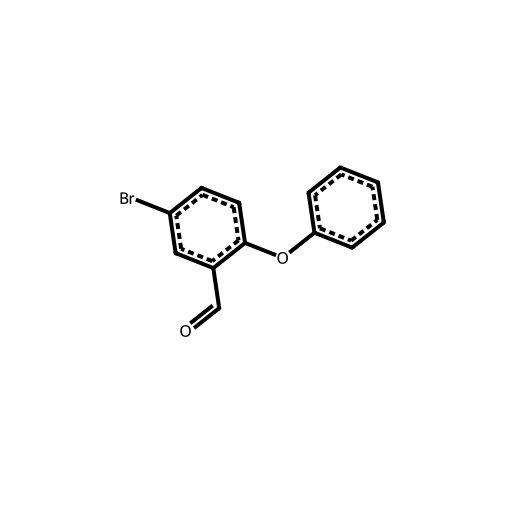 O=Cc1cc(Br)ccc1Oc1ccccc1